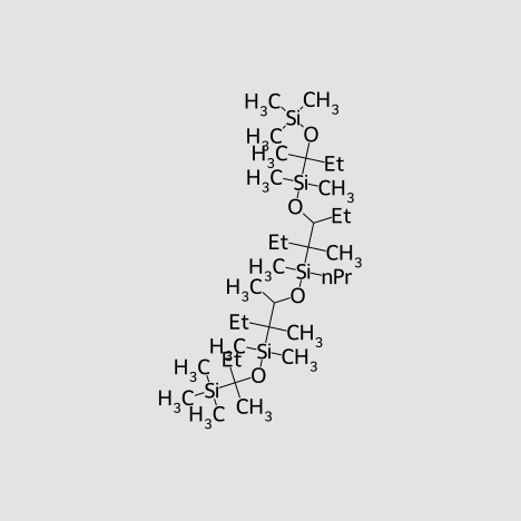 CCC[Si](C)(OC(C)C(C)(CC)[Si](C)(C)OC(C)(CC)[Si](C)(C)C)C(C)(CC)C(CC)O[Si](C)(C)C(C)(CC)O[Si](C)(C)C